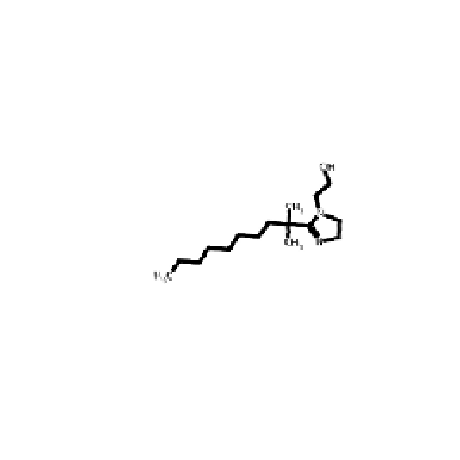 CCCCCCCCC(C)(C)C1=NCCN1CCO